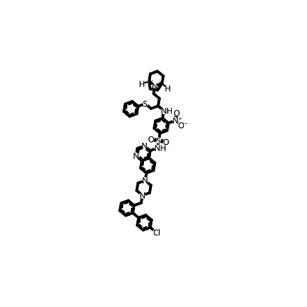 O=[N+]([O-])c1cc(S(=O)(=O)Nc2ncnc3cc(N4CCN(Cc5ccccc5-c5ccc(Cl)cc5)CC4)ccc23)ccc1NC(CCN1[C@@H]2CCC[C@H]1CC2)CSc1ccccc1